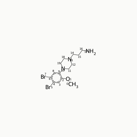 COc1cc(Br)c(Br)cc1N1CCN(CCCN)CC1